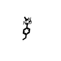 CCc1ccc(-c2nc(C)no2)cc1